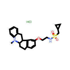 CNC1CCc2ccc(OCCNS(=O)(=O)CC3CC3)cc2C1Cc1ccccc1.Cl